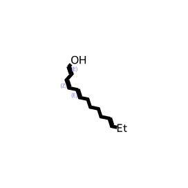 CCC=CCCCC/C=C/C=C\C=C\O